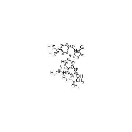 CC(C)C[C@H](NC(=O)[C@H](CC(C)C)NC(=O)CC1CCC(=O)N1Cc1ccc(C(C)C)cc1)C(=O)O